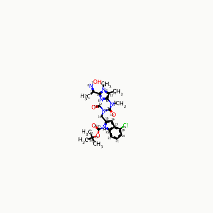 C/C(=N/O)c1nc(N(C)C(=O)N(C=O)Cc2cc3c(Cl)cccc3n2C(=O)OC(C)(C)C)c(C)n1C